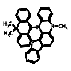 CN1c2ccccc2N(B2c3ccccc3C(C)(C)c3ccccc32)c2c1ccc1c2oc2ccccc21